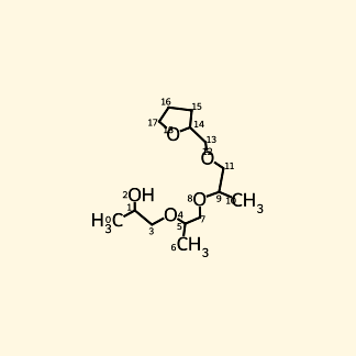 CC(O)COC(C)COC(C)COCC1CCCO1